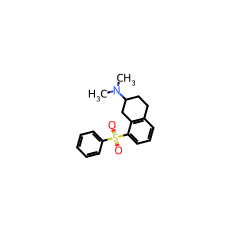 CN(C)C1CCc2cccc(S(=O)(=O)c3ccccc3)c2C1